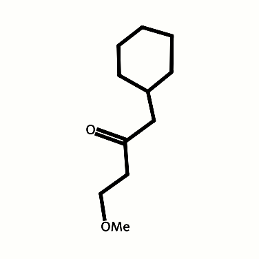 COCCC(=O)CC1CCCCC1